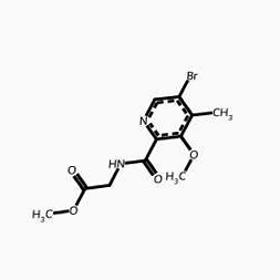 COC(=O)CNC(=O)c1ncc(Br)c(C)c1OC